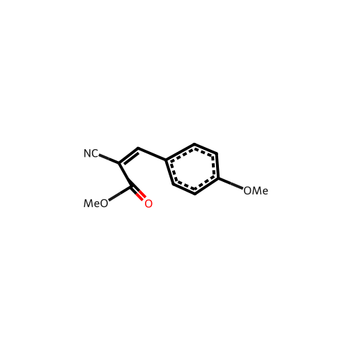 COC(=O)/C(C#N)=C\c1ccc(OC)cc1